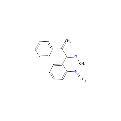 C=Nc1ccccc1/C(=N\C)C(=C)c1ccccc1